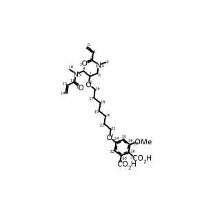 C=CC(=O)N(C)CC(CN(C)C(=O)C=C)OCCCCCCCOc1cc(OC)c(C(=O)O)c(C(=O)O)c1